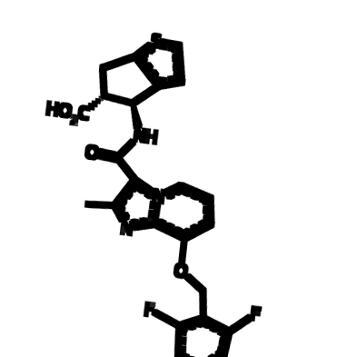 Cc1nc2c(OCc3c(F)cccc3F)cccn2c1C(=O)N[C@@H]1c2ccsc2C[C@H]1C(=O)O